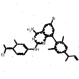 C=CC(C)c1cc(C)c(-c2cc(Br)cc3c(N)nc(NC4=CC(C)/C(=C(\C)CC)C=C4)nc23)c(C)c1